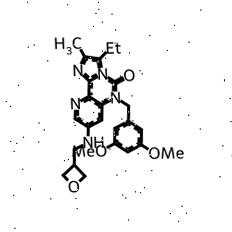 CCc1c(C)nc2c3ncc(NCC4COC4)cc3n(Cc3cc(OC)cc(OC)c3)c(=O)n12